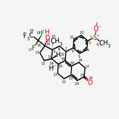 C[S+]([O-])c1ccc(C2C[C@@]3(C)[C@@H](CCC3(O)C(F)(F)C(F)(F)F)[C@@H]3CCC4=CC(=O)CCC4=C23)cc1